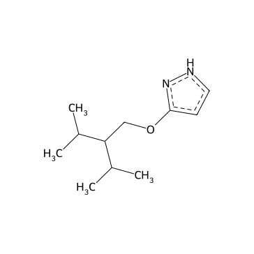 CC(C)C(COc1cc[nH]n1)C(C)C